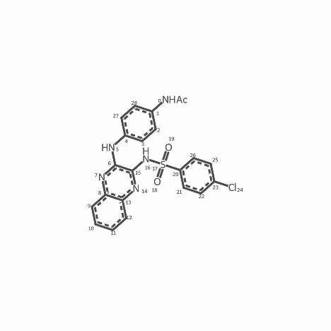 CC(=O)Nc1ccc(Nc2nc3ccccc3nc2NS(=O)(=O)c2ccc(Cl)cc2)cc1